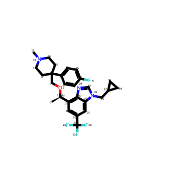 C[C@@H](OCC1(c2ccc(F)cc2)CCN(C)CC1)c1cc(C(F)(F)F)cc2c1ncn2CC1CC1